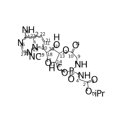 CC(C)OC(=O)CNP1(=O)NCC(=O)OC2[C@@H](CO1)O[C@@](C#N)(c1ccc3c(N)ncnn13)[C@@]2(C)O